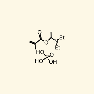 C=C(C)C(=O)OC(C)N(CC)CC.O=P(O)(O)O